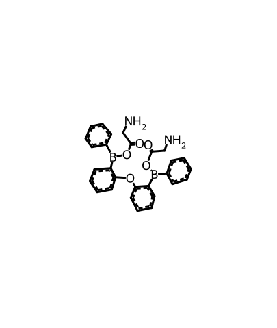 NCC(=O)OB(c1ccccc1)c1ccccc1Oc1ccccc1B(OC(=O)CN)c1ccccc1